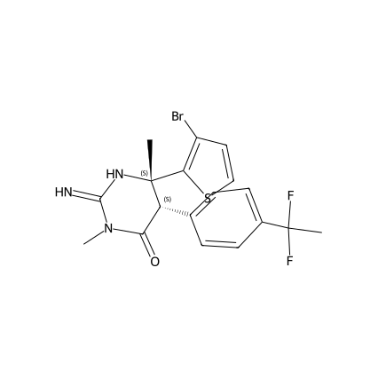 CN1C(=N)N[C@](C)(c2sccc2Br)[C@H](c2ccc(C(C)(F)F)cc2)C1=O